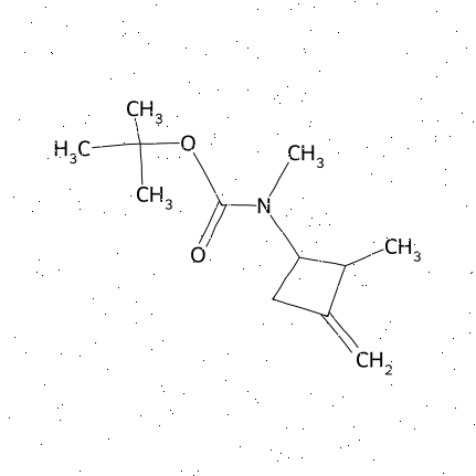 C=C1CC(N(C)C(=O)OC(C)(C)C)C1C